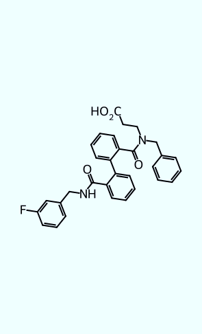 O=C(O)CCN(Cc1ccccc1)C(=O)c1ccccc1-c1ccccc1C(=O)NCc1cccc(F)c1